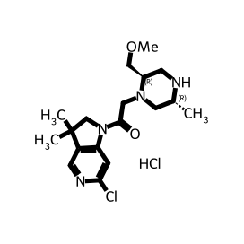 COC[C@H]1CN[C@H](C)CN1CC(=O)N1CC(C)(C)c2cnc(Cl)cc21.Cl